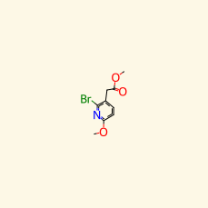 COC(=O)Cc1ccc(OC)nc1Br